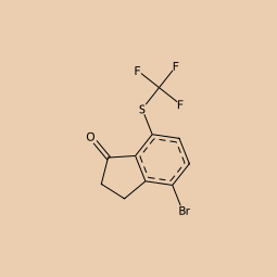 O=C1CCc2c(Br)ccc(SC(F)(F)F)c21